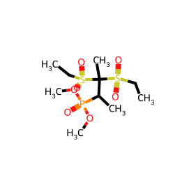 CCS(=O)(=O)C(C)(C(C)P(=O)(OC)OC)S(=O)(=O)CC